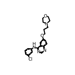 Clc1cccc(Nc2ncnc3ccc(OCCCN4CCOCC4)cc23)c1